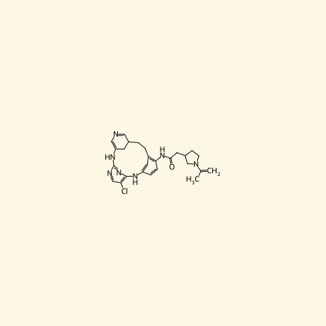 C=C(C)N1CCC(CC(=O)Nc2ccc3cc2CCC2C=NC=C(C2)Nc2ncc(Cl)c(n2)N3)C1